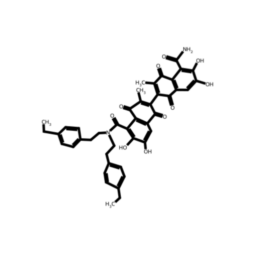 CCc1ccc(CCN(CCc2ccc(CC)cc2)C(=O)c2c(O)c(O)cc3c2C(=O)C(C)=C(C2=C(C)C(=O)c4c(cc(O)c(O)c4C(N)=O)C2=O)C3=O)cc1